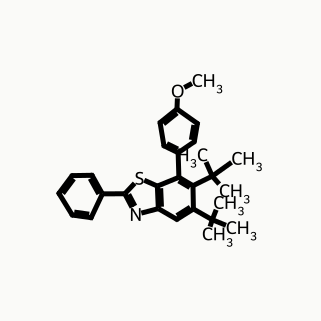 COc1ccc(-c2c(C(C)(C)C)c(C(C)(C)C)cc3nc(-c4ccccc4)sc23)cc1